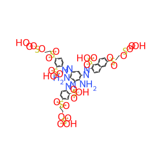 Nc1c(/N=N/c2ccc(S(=O)(=O)CCOSOOO)cc2S(=O)(=O)O)cc(/N=N/c2ccc3cc(S(=O)(=O)CCOSOOO)ccc3c2S(=O)(=O)O)c(N)c1/N=N/c1ccc(S(=O)(=O)CCOS(=O)(=O)O)cc1S(=O)(=O)O